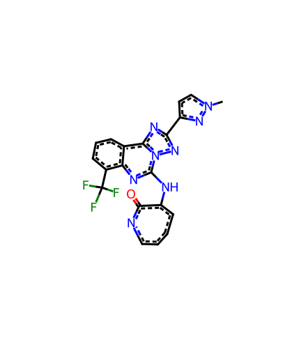 Cn1ccc(-c2nc3c4cccc(C(F)(F)F)c4nc(Nc4ccccnc4=O)n3n2)n1